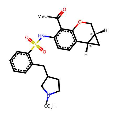 COC(=O)c1c(NS(=O)(=O)c2ccccc2CC2CCN(C(=O)O)C2)ccc2c1OC[C@@H]1C[C@H]21